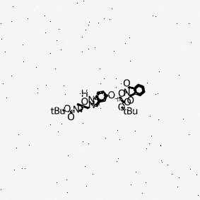 CC(C)(C)OC(=O)[C@H](COc1ccc2nn(CC3(O)CN(C(=O)OC(C)(C)C)C3)cc2c1)ON1C(=O)c2ccccc2C1=O